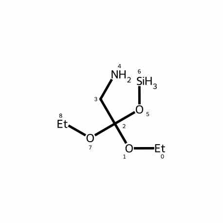 CCOC(CN)(O[SiH3])OCC